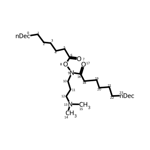 CCCCCCCCCCCCCCCC(=O)ON(CCCN(C)C)C(=O)CCCCCCCCCCCCCCC